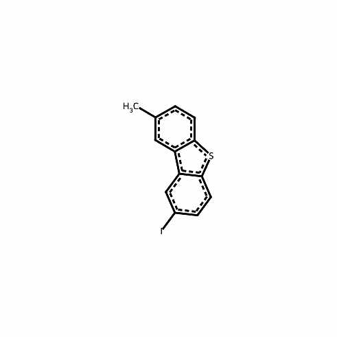 Cc1ccc2sc3ccc(I)cc3c2c1